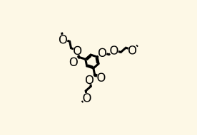 COCCOCOc1cc(C(=O)OCCOC)cc(C(=O)OCCOC)c1